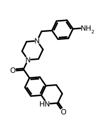 Nc1ccc(CN2CCN(C(=O)c3ccc4c(c3)CCC(=O)N4)CC2)cc1